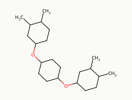 CC1CCC(OC2CCC(OC3CCC(C)C(C)C3)CC2)CC1C